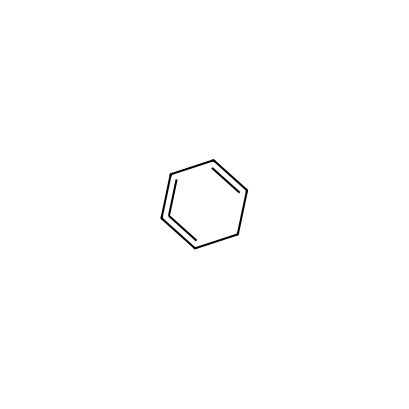 C1=CC=CCC=1